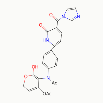 CC(=O)OC1=CCOC(O)=C1N(C(C)=O)c1ccc(-c2ccc(C(=O)n3ccnc3)c(=O)[nH]2)cc1